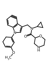 COC1=CCCC(n2cc(CN(C(=O)C3CNCCO3)C3CC3)c3c#cccc32)=C1